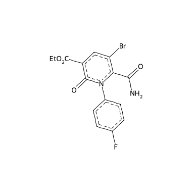 CCOC(=O)c1cc(Br)c(C(N)=O)n(-c2ccc(F)cc2)c1=O